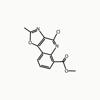 COC(=O)c1cccc2c1nc(Cl)c1nc(C)oc12